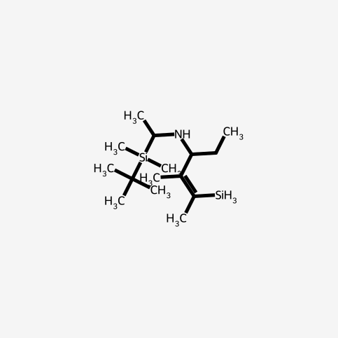 CCC(NC(C)[Si](C)(C)C(C)(C)C)C(C)=C(C)[SiH3]